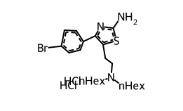 CCCCCCN(CCCCCC)CCc1sc(N)nc1-c1ccc(Br)cc1.Cl.Cl